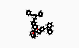 c1ccc(-c2cc(-c3ccccc3)nc(-c3ccc4cc(C5(c6ccc7cc(-n8c9ccccc9c9ccccc98)ccc7c6)C6CC7CC(C6)CC5C7)ccc4c3)n2)cc1